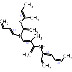 C=C/C=C/N(/C=C(\C)C(=C)N/C(C=C)=C/C=C\C)C(=C)S/C(C)=C/C